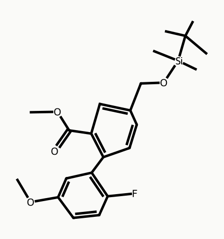 COC(=O)c1cc(CO[Si](C)(C)C(C)(C)C)ccc1-c1cc(OC)ccc1F